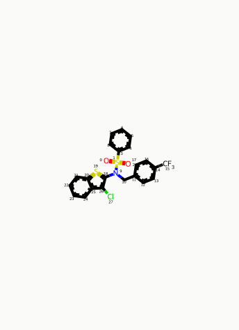 O=S(=O)(c1ccccc1)N(Cc1ccc(C(F)(F)F)cc1)c1sc2ccccc2c1Cl